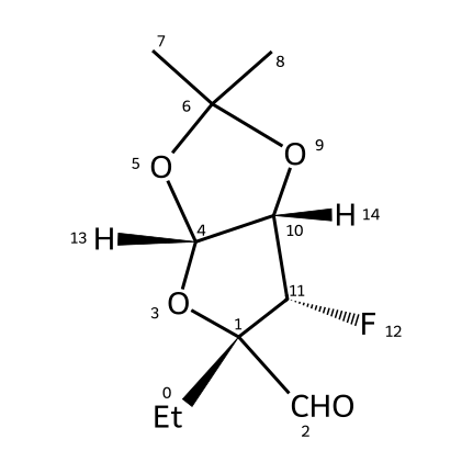 CC[C@@]1(C=O)O[C@@H]2OC(C)(C)O[C@@H]2[C@@H]1F